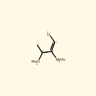 CC/C=C(/NC(C)=O)C(C)OC